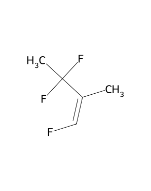 C/C(=C/F)C(C)(F)F